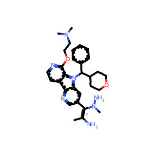 C/C(N)=C(\c1cnc2c3ccnc(OCCN(C)C)c3n(C(c3ccccc3)C3CCOCC3)c2c1)N(C)N